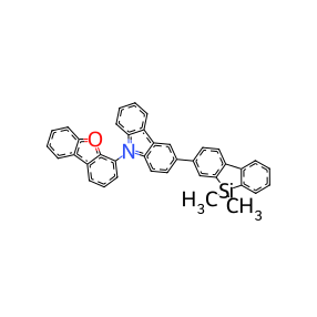 C[Si]1(C)c2ccccc2-c2ccc(-c3ccc4c(c3)c3ccccc3n4-c3cccc4c3oc3ccccc34)cc21